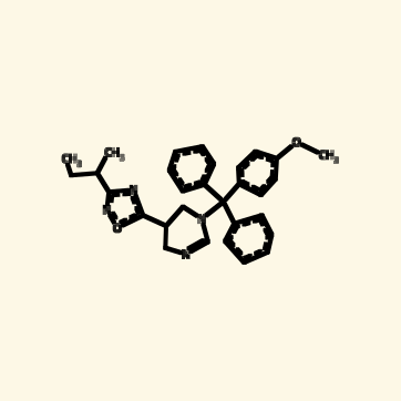 CCC(C)c1noc(C2CN=CN(C(c3ccccc3)(c3ccccc3)c3ccc(OC)cc3)C2)n1